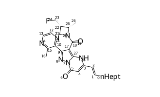 CCCCCCC/C=C/c1cc(=O)n2nc(-c3nccnc3C)c(C(=O)N3C[C@H](CF)[C@@H]3C)c2[nH]1